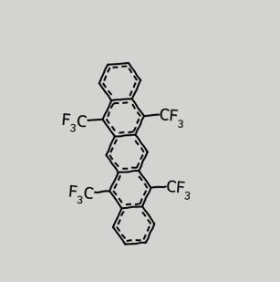 FC(F)(F)c1c2ccccc2c(C(F)(F)F)c2cc3c(C(F)(F)F)c4ccccc4c(C(F)(F)F)c3cc12